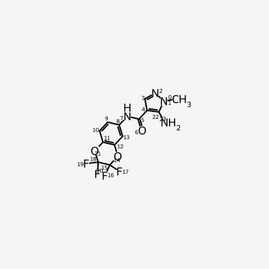 Cn1ncc(C(=O)Nc2ccc3c(c2)OC(F)(F)C(F)(F)O3)c1N